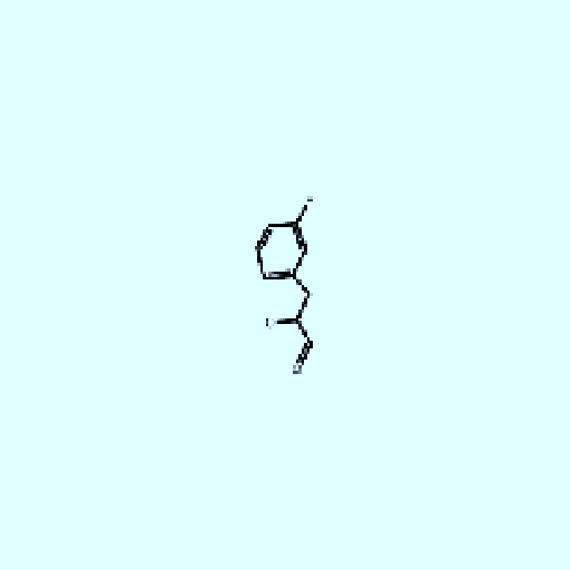 O=CC(Cl)Cc1cccc(F)c1